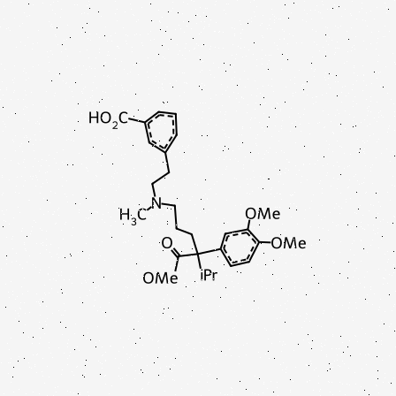 COC(=O)C(CCCN(C)CCc1cccc(C(=O)O)c1)(c1ccc(OC)c(OC)c1)C(C)C